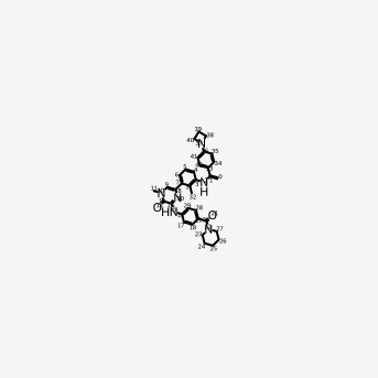 C=C(Nc1cccc(-c2cn(C)c(=O)c(Nc3ccc(C(=O)N4CCCCC4)cc3)n2)c1C)c1ccc(N2CCC2)cc1